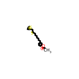 CCC(=O)Oc1cccc(CCCCCCCC2SC2CC2SCC3CC2S3)c1